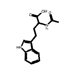 CC(=O)NC(CCc1c[nH]c2ccccc12)C(=O)O